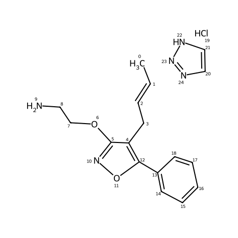 CC=CCc1c(OCCN)noc1-c1ccccc1.Cl.c1c[nH]nn1